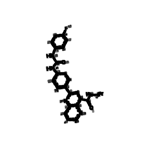 CC(C)NC(=O)c1cc(-c2ccc(NC(=O)Nc3ccc(F)cc3)cc2)nc2cccnc12